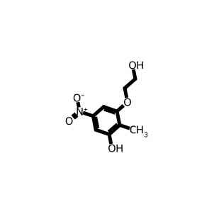 Cc1c(O)cc([N+](=O)[O-])cc1OCCO